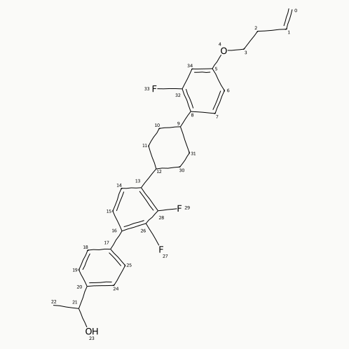 C=CCCOc1ccc(C2CCC(c3ccc(-c4ccc(C(C)O)cc4)c(F)c3F)CC2)c(F)c1